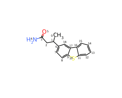 CC(CC(N)=O)c1ccc2sc3ccccc3c2c1